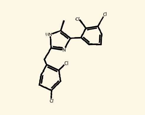 Cc1[nH]c(Cc2ccc(Cl)cc2Cl)nc1-c1cccc(Cl)c1Cl